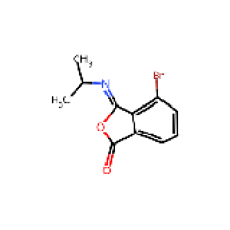 CC(C)N=C1OC(=O)c2cccc(Br)c21